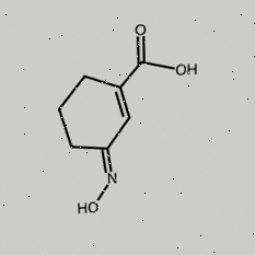 O=C(O)C1=CC(=NO)CCC1